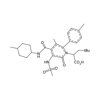 Cc1ccc(-c2c(C)c(C(=O)NC3CCC(C)CC3)c(NS(C)(=O)=O)c(=O)n2C(CC(C)(C)C)C(=O)O)cc1